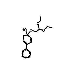 CCOC(COC1(O)C=CC(c2ccccc2)=CC1)OCC